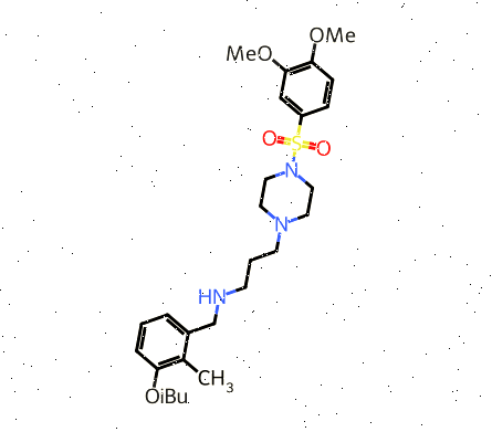 COc1ccc(S(=O)(=O)N2CCN(CCCNCc3cccc(OCC(C)C)c3C)CC2)cc1OC